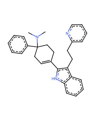 CN(C)C1(c2ccccc2)CC=C(c2[nH]c3ccccc3c2CCc2ccccn2)CC1